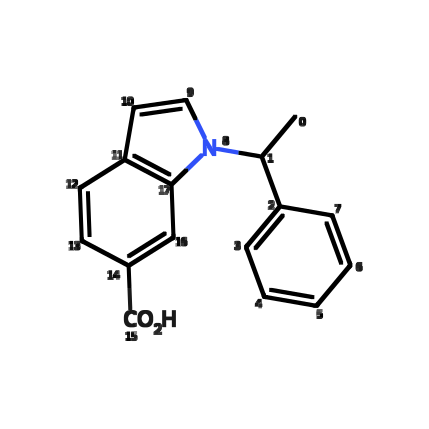 CC(c1ccccc1)n1ccc2ccc(C(=O)O)cc21